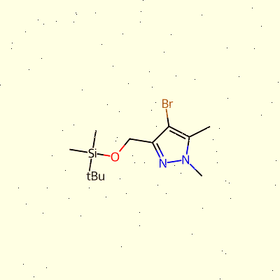 Cc1c(Br)c(CO[Si](C)(C)C(C)(C)C)nn1C